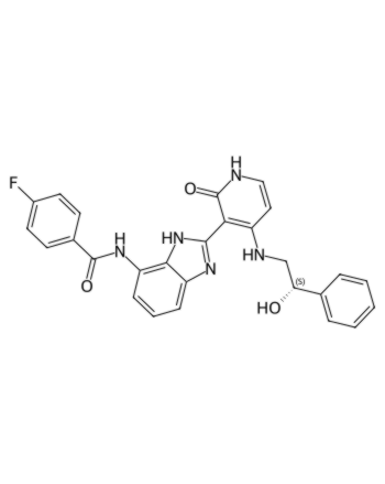 O=C(Nc1cccc2nc(-c3c(NC[C@@H](O)c4ccccc4)cc[nH]c3=O)[nH]c12)c1ccc(F)cc1